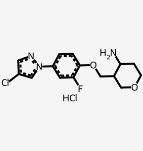 Cl.NC1CCOCC1COc1ccc(-n2cc(Cl)cn2)cc1F